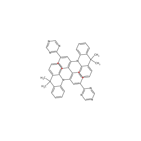 CC1(C)c2ccccc2N(c2cc(-c3ncncn3)ccc2-c2ccc(-c3ncncn3)cc2N2c3ccccc3C(C)(C)c3ccccc32)c2ccccc21